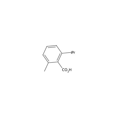 Cc1cccc(C(C)C)c1C(=O)O